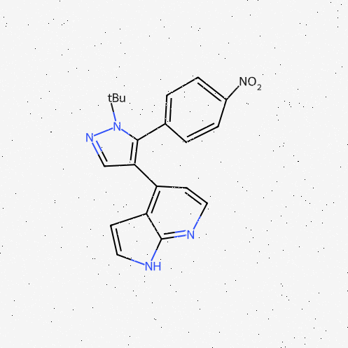 CC(C)(C)n1ncc(-c2ccnc3[nH]ccc23)c1-c1ccc([N+](=O)[O-])cc1